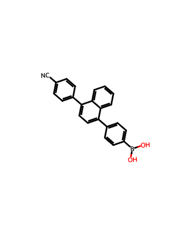 N#Cc1ccc(-c2ccc(-c3ccc(B(O)O)cc3)c3ccccc23)cc1